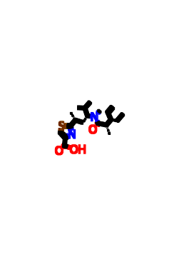 C=C[C@@H](CC)[C@H](C)C(=O)N(C)[C@H](C[C@@H](C)c1nc(C(=O)O)cs1)C(C)C